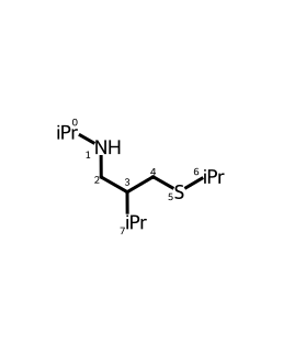 CC(C)NCC(CSC(C)C)C(C)C